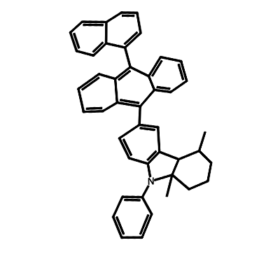 CC1CCCC2(C)C1c1cc(-c3c4ccccc4c(-c4cccc5ccccc45)c4ccccc34)ccc1N2c1ccccc1